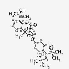 CC(C)(C)CC(c1ccc(OCCC(=O)Oc2c(C(C)(C)O)cccc2C(C)(C)O)cc1)C(C)(C)C